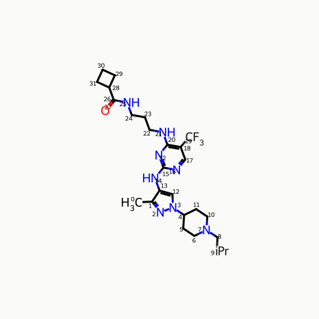 Cc1nn(C2CCN(CC(C)C)CC2)cc1Nc1ncc(C(F)(F)F)c(NCCCNC(=O)C2CCC2)n1